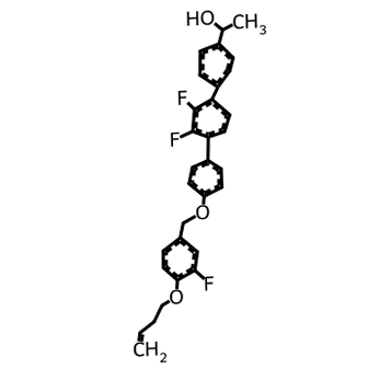 C=CCCOc1ccc(COc2ccc(-c3ccc(-c4ccc(C(C)O)cc4)c(F)c3F)cc2)cc1F